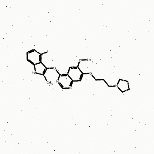 COc1cc2c(Oc3c(C)[nH]c4cccc(F)c34)ncnc2cc1OCCCN1CCCC1